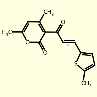 Cc1cc(C)c(C(=O)/C=C/c2ccc(C)s2)c(=O)o1